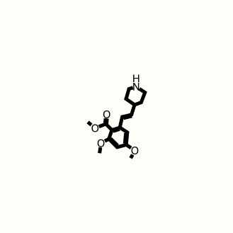 COC(=O)c1c(C=CC2CCNCC2)cc(OC)cc1OC